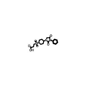 O=C(O)CCS(=O)(=O)N1CCC(N2CC(=O)N(c3ccccc3)C2=O)CC1